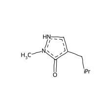 CC(C)Cc1c[nH]n(C)c1=O